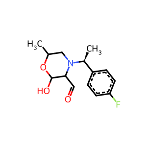 CC1CN([C@@H](C)c2ccc(F)cc2)C(C=O)C(O)O1